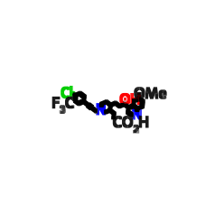 COc1ccc2nccc([C@@H](O)CCC3CCN(CC#Cc4ccc(Cl)c(C(F)(F)F)c4)CC3CCC(=O)O)c2c1